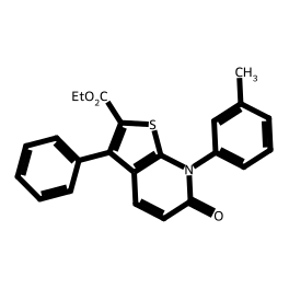 CCOC(=O)c1sc2c(ccc(=O)n2-c2cccc(C)c2)c1-c1ccccc1